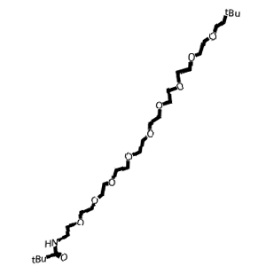 CC(C)(C)CCOCCOCCOCCOCCOCCOCCOCCOCCOCCNC(=O)C(C)(C)C